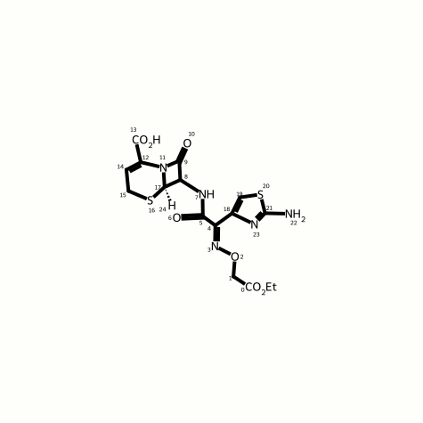 CCOC(=O)CO/N=C(/C(=O)NC1C(=O)N2C(C(=O)O)=CCS[C@H]12)c1csc(N)n1